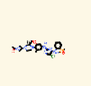 CC(=O)N1CC(N2CCN3c4c(C)cc(Nc5ncc(Cl)c(Nc6ccccc6P(C)(C)=O)n5)cc4OC[C@@H]3C2)C1